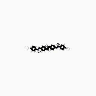 N#C/C(=C\c1ccc2c(c1)oc1c3ccc(/C=C(\C#N)c4ccc(C(F)(F)F)cc4)cc3oc21)c1ccc(C(F)(F)F)cc1